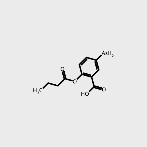 CCCC(=O)Oc1ccc([AsH2])cc1C(=O)O